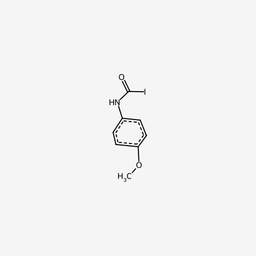 COc1ccc(NC(=O)I)cc1